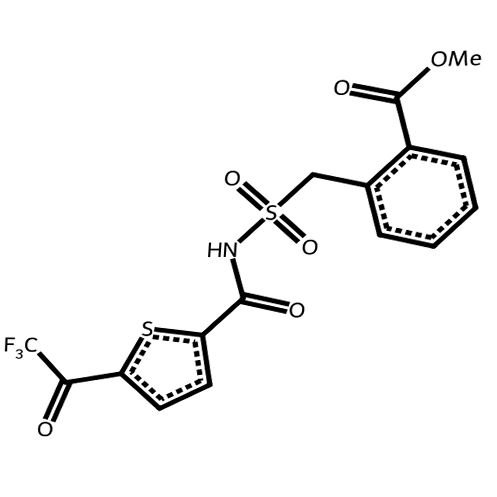 COC(=O)c1ccccc1CS(=O)(=O)NC(=O)c1ccc(C(=O)C(F)(F)F)s1